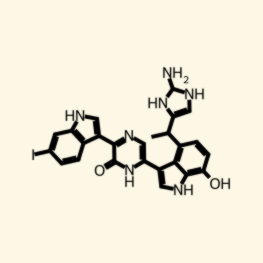 CC(C1=CNC(N)N1)c1ccc(O)c2[nH]cc(-c3cnc(-c4c[nH]c5cc(I)ccc45)c(=O)[nH]3)c12